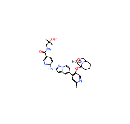 Cc1cc(-c2ccn3nc(Nc4ccc(C(=O)NCC(C)(C)O)cn4)cc3c2)c(OC23CCCC(COC2)N3C(=O)O)cn1